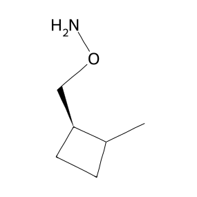 CC1CC[C@H]1CON